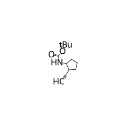 C#CC1CCCC1NC(=O)OC(C)(C)C